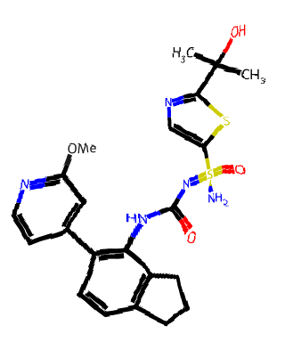 COc1cc(-c2ccc3c(c2NC(=O)N=[S@@](N)(=O)c2cnc(C(C)(C)O)s2)CCC3)ccn1